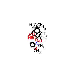 COc1ccccc1N(C)C(=O)O[C@H]1C(C)=C[C@]23C(O)[C@@H](C=C(CO)[C@@H](O)[C@]12O)[C@@H]1C(C)(C)C1(C)C[C@H]3C